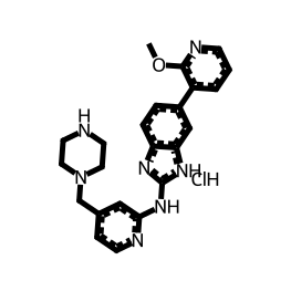 COc1ncccc1-c1ccc2nc(Nc3cc(CN4CCNCC4)ccn3)[nH]c2c1.Cl